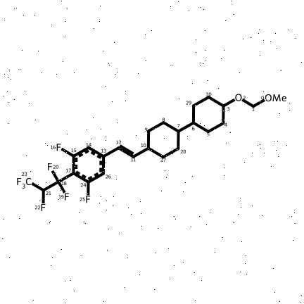 COCOC1CCC(C2CCC(C=Cc3cc(F)c(C(F)(F)C(F)C(F)(F)F)c(F)c3)CC2)CC1